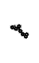 c1cc2c3c(cccc3c1)-c1cc(-c3ccc(-n4c5ccccc5c5c6sc7ccccc7c6ccc54)cc3)ccc1-2